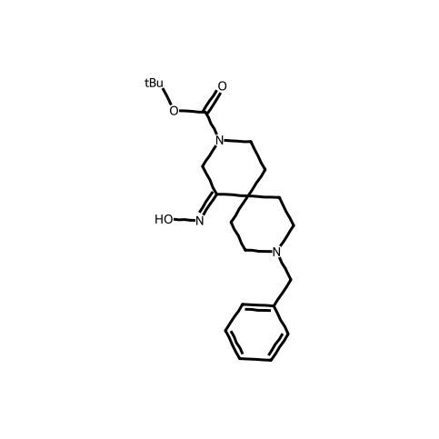 CC(C)(C)OC(=O)N1CCC2(CCN(Cc3ccccc3)CC2)C(=NO)C1